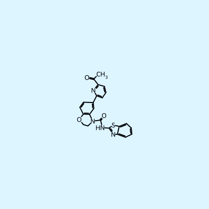 CC(=O)c1cccc(-c2ccc3c(c2)N(C(=O)Nc2nc4ccccc4s2)CCO3)n1